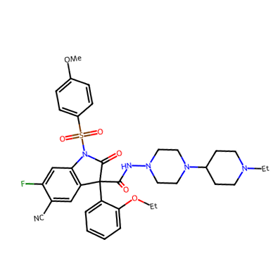 CCOc1ccccc1C1(C(=O)NN2CCN(C3CCN(CC)CC3)CC2)C(=O)N(S(=O)(=O)c2ccc(OC)cc2)c2cc(F)c(C#N)cc21